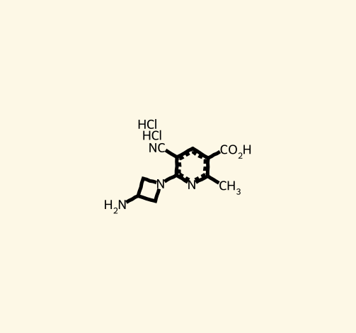 Cc1nc(N2CC(N)C2)c(C#N)cc1C(=O)O.Cl.Cl